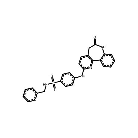 O=C1Cc2cnc(Nc3ccc(S(=O)(=O)NCc4ccccn4)cc3)nc2-c2ccccc2N1